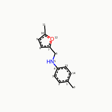 Cc1ccc(NCc2ccc(C)o2)cc1